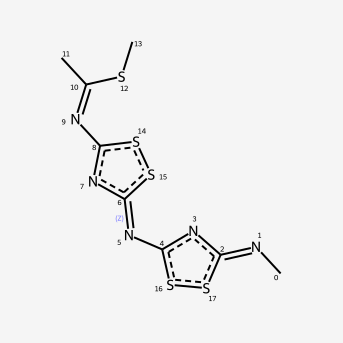 CN=c1nc(/N=c2/nc(N=C(C)SC)ss2)ss1